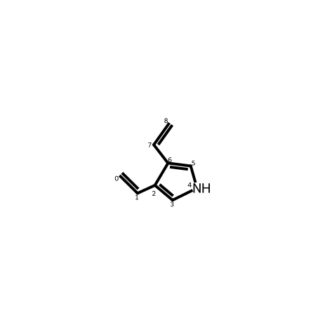 C=Cc1c[nH]cc1C=C